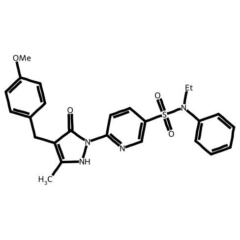 CCN(c1ccccc1)S(=O)(=O)c1ccc(-n2[nH]c(C)c(Cc3ccc(OC)cc3)c2=O)nc1